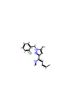 C=N/C(=C\C=C/C)c1cc(C)n(Cc2ccccc2F)n1